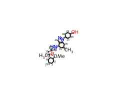 COc1ccc(F)cc1C1(C)CC(CNc2cc(C)cc3c2cnn3-c2ccc(O)cc2)(C(F)(F)F)O1